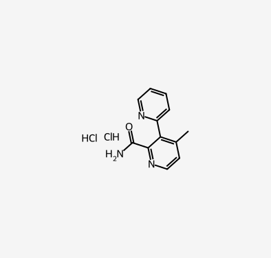 Cc1ccnc(C(N)=O)c1-c1ccccn1.Cl.Cl